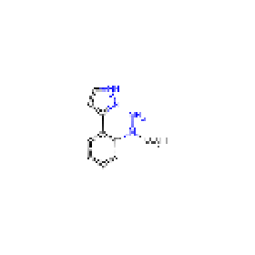 NN(C(=O)O)c1c[c]ccc1-c1cc[nH]n1